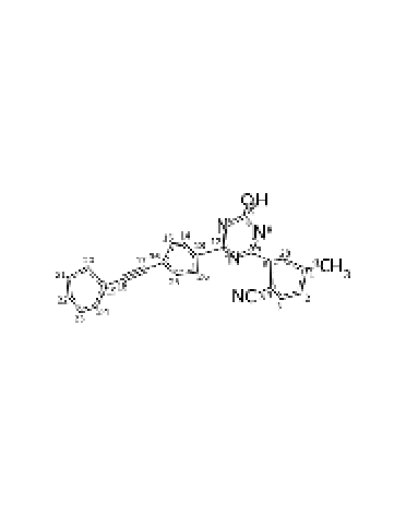 Cc1ccc(C#N)c(-c2nc(O)nc(-c3ccc(C#Cc4ccccc4)cc3)n2)c1